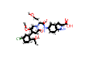 COCC[C@H](C(=O)Nc1ccc2[nH]c(C(=O)O)cc2c1)n1cc(OC)c(-c2cc(Cl)ccc2C(C)=O)cc1=O